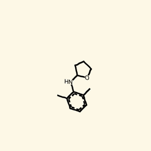 Cc1cccc(C)c1NC1CCCO1